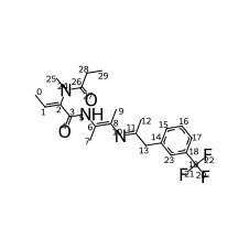 C/C=C(/C(=O)N/C(C)=C(C)/N=C(\C)Cc1cccc(C(F)(F)F)c1)N(C)C(=O)CC